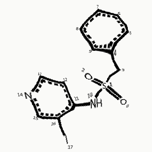 O=S(=O)(Cc1ccccc1)Nc1ccncc1I